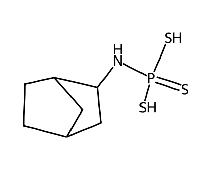 S=P(S)(S)NC1CC2CCC1C2